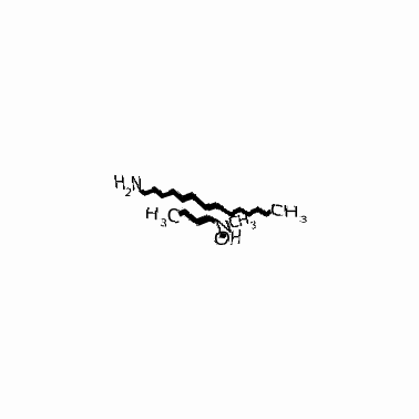 CCCCCCCCCCCCCCN.CCCCN(C)O